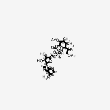 CC(=O)OC[C@H](F)C1O[C@@H](OP(=O)(O)OP(O)(=S)OC[C@H]2O[C@@H](n3cnc4c(N)ncnc43)[C@@H](O)C2O)C(OC(C)=O)[C@@H](C)[C@@H]1C